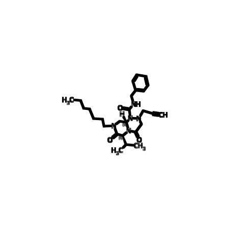 C#CCN1CC(=O)N2[C@@H](C(C)C)C(=O)N(CCCCCCC)C[C@@H]2N1C(=O)NCc1ccccc1